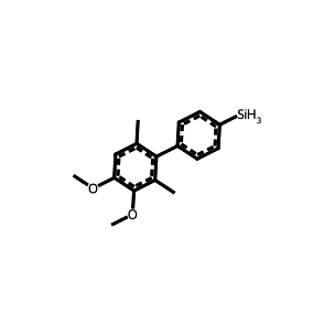 COc1cc(C)c(-c2ccc([SiH3])cc2)c(C)c1OC